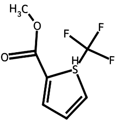 COC(=O)C1=CC=C[SH]1C(F)(F)F